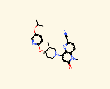 CC(C)Oc1ccc(O[C@@H]2CCN(c3cc(=O)n(C)c4ccc(C#N)nc34)C[C@@H]2C)nc1